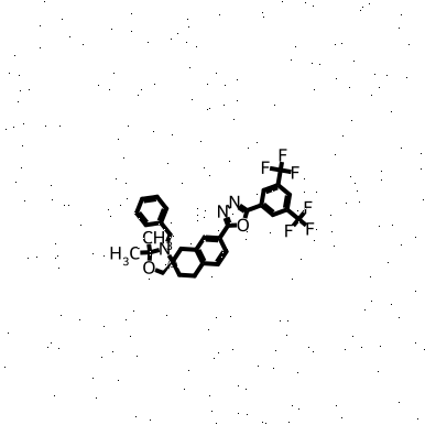 CC1(C)OC[C@@]2(CCc3ccc(-c4nnc(-c5cc(C(F)(F)F)cc(C(F)(F)F)c5)o4)cc3C2)N1Cc1ccccc1